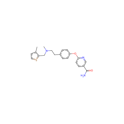 Cc1ccsc1CN(C)CCc1ccc(Oc2ccc(C(N)=O)cn2)cc1